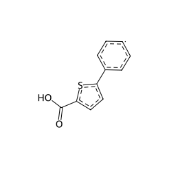 O=C(O)c1ccc(-c2cc[c]cc2)s1